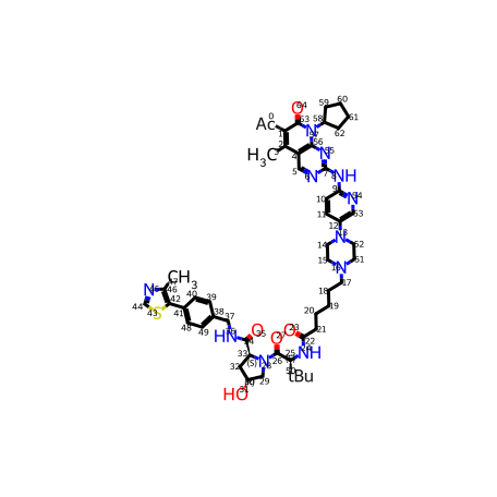 CC(=O)c1c(C)c2cnc(Nc3ccc(N4CCN(CCCCCC(=O)N[C@H](C(=O)N5C[C@H](O)C[C@H]5C(=O)NCc5ccc(-c6scnc6C)cc5)C(C)(C)C)CC4)cn3)nc2n(C2CCCC2)c1=O